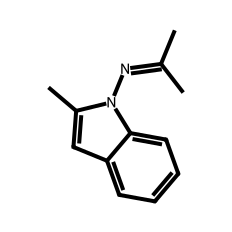 CC(C)=Nn1c(C)cc2ccccc21